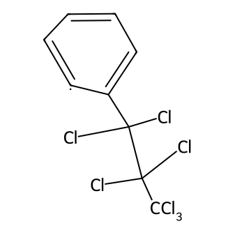 ClC(Cl)(Cl)C(Cl)(Cl)C(Cl)(Cl)c1[c]cccc1